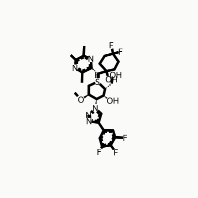 CO[C@H]1C[SH]([C@H](c2nc(C)c(C)nc2C)C2(O)CCC(F)(F)CC2)[C@H](CO)[C@H](O)[C@@H]1n1cc(-c2cc(F)c(F)c(F)c2)nn1